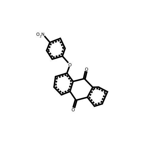 O=C1c2ccccc2C(=O)c2c(Oc3ccc([N+](=O)[O-])cc3)cccc21